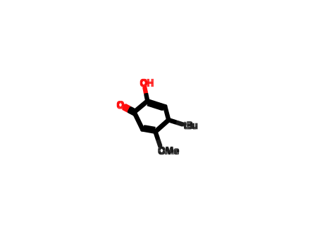 COC1=CC(=O)C(O)=CC1C(C)(C)C